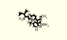 COCC(c1ccc2nc([C@@H](N)C(C3CC3)C3CC3)cn2n1)C1(C(=O)OC)C[C@@H](C(F)(F)F)CNC1=O